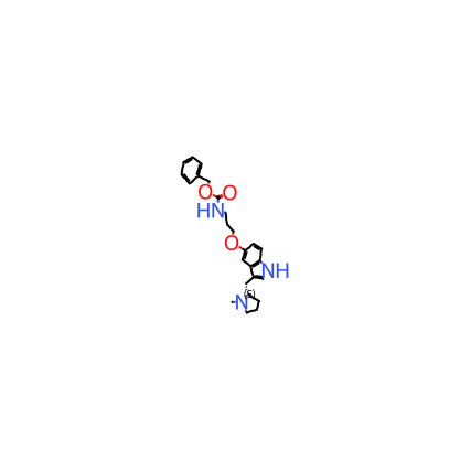 CN1CCC[C@H]1Cc1c[nH]c2ccc(OCCCNC(=O)OCc3ccccc3)cc12